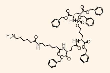 NCCCCCC(=O)NCCCCCC(=O)N[C@@H](CCC(=O)N[C@@H](CCCOP(=O)(N[C@@H](CCC(=O)OCc1ccccc1)C(=O)OCc1ccccc1)OCc1ccccc1)C(=O)OCc1ccccc1)C(=O)OCc1ccccc1